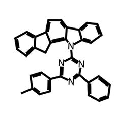 Cc1ccc(-c2nc(-c3ccccc3)nc(-n3c4ccccc4c4ccc5c(c43)Cc3ccccc3-5)n2)cc1